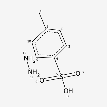 Cc1ccc(S(=O)(=O)O)cc1.NN